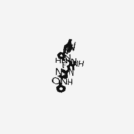 Cc1cn(-c2cccc3[nH]c(-c4n[nH]c5cnc(-c6cncc(NC(=O)C7CCCCC7)c6)c(F)c45)nc23)cn1